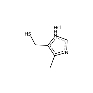 Cc1nc[nH]c1CS.Cl